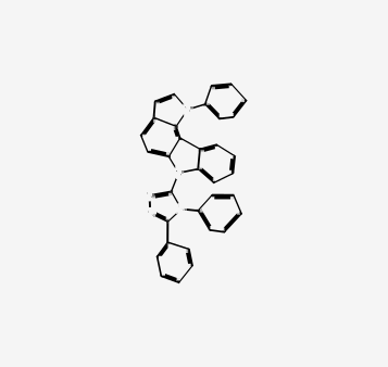 c1ccc(-c2nnc(-n3c4ccccc4c4c5c(ccc43)ccn5-c3ccccc3)n2-c2ccccc2)cc1